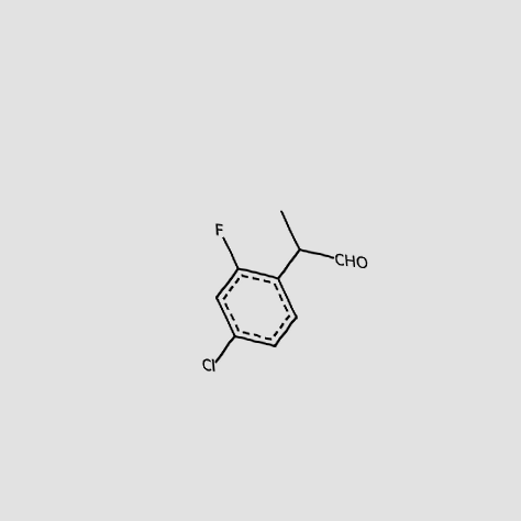 CC(C=O)c1ccc(Cl)cc1F